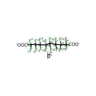 O=C([O-])C(F)(F)C(F)(F)C(F)(F)C(F)(F)C(F)(F)C(F)(F)C(F)(F)C(F)(F)C(=O)[O-].[Li+].[Li+]